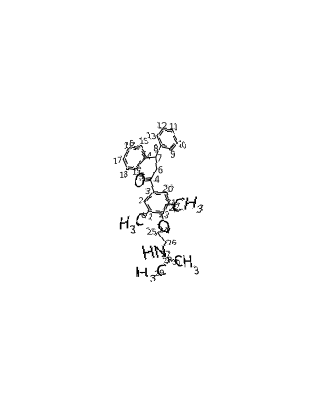 Cc1cc(C(=O)CC(c2ccccc2)c2ccccc2)cc(C)c1OCCNC(C)C